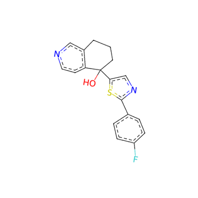 OC1(c2cnc(-c3ccc(F)cc3)s2)CCCc2cnccc21